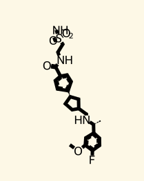 COc1cc([C@@H](C)NCC2CC[C@H](c3ccc(C(=O)NCCS(N)(=O)=O)cc3)C2)ccc1F